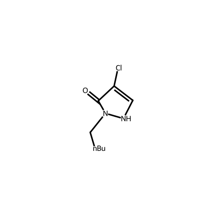 CCCCCn1[nH]cc(Cl)c1=O